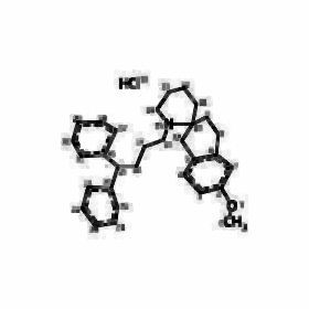 COc1ccc2c(c1)CCC1(CCCCN1CCCC(c1ccccc1)c1ccccc1)C2.Cl